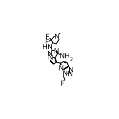 CN1CC[C@@H](Nc2nc(N)c3c(-c4ccc5nnn(CCF)c5n4)ccn3n2)C(F)(F)C1